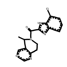 CC1c2cncnc2CCN1C(=O)c1nc2cccc(Cl)c2[nH]1